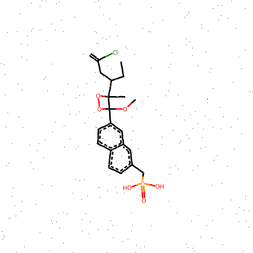 C=C(Cl)CC(CC)C1(C)OOC1(OC)c1ccc2ccc(CP(=O)(O)O)cc2c1